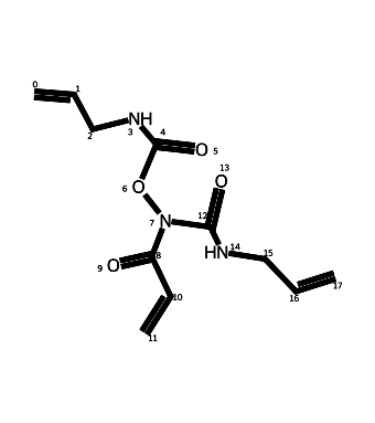 C=CCNC(=O)ON(C(=O)C=C)C(=O)NCC=C